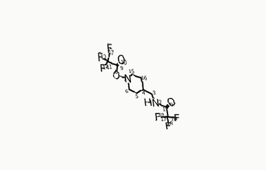 O=C(NCC1CCN(OC(=O)C(F)(F)F)CC1)C(F)(F)F